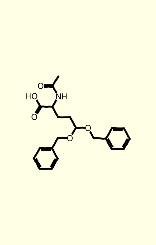 CC(=O)NC(CCC(OCc1ccccc1)OCc1ccccc1)C(=O)O